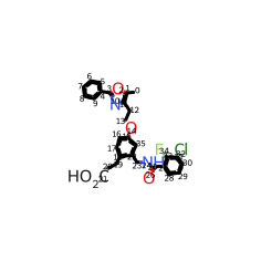 Cc1oc(-c2ccccc2)nc1CCOc1ccc(CCC(=O)O)c(CNC(=O)c2cccc(Cl)c2F)c1